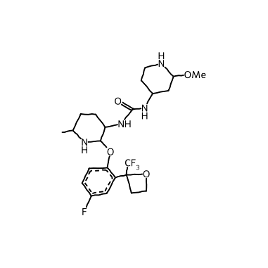 COC1CC(NC(=O)NC2CCC(C)NC2Oc2ccc(F)cc2C2(C(F)(F)F)CCO2)CCN1